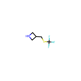 FC(F)(F)SCC1CNC1